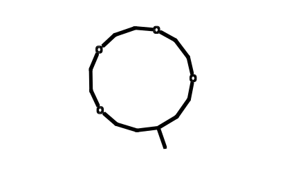 CC1CCOCCOCCOCCOCC1